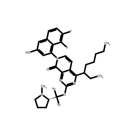 [2H]C([2H])(Oc1nc(C(CC)CCCCC)c2ccn(-c3cc(O)cc4ccc(F)c(F)c34)c(=O)c2n1)[C@@H]1CCCN1C